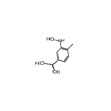 Cc1ccc(C(O)O)cc1NO